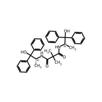 C[C@@H](NC(=O)C(C)(C)C(=O)N[C@H](C)C(O)(c1ccccc1)c1ccccc1)C(O)(c1ccccc1)c1ccccc1